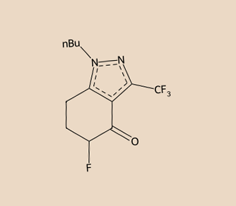 CCCCn1nc(C(F)(F)F)c2c1CCC(F)C2=O